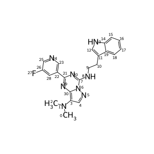 CN(C)c1cnn2c(NCCc3c[nH]c4ccccc34)nc(-c3cncc(F)c3)nc12